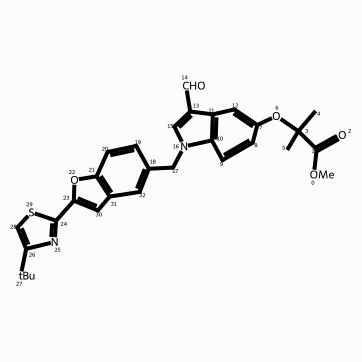 COC(=O)C(C)(C)Oc1ccc2c(c1)c(C=O)cn2Cc1ccc2oc(-c3nc(C(C)(C)C)cs3)cc2c1